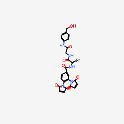 CC(C)C(NC(=O)c1ccc(N2C(=O)C=CC2=O)c(N2C(=O)C=CC2=O)c1)C(=O)NCC(=O)Nc1ccc(CO)cc1